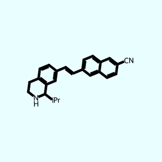 CC(C)C1NCCc2ccc(C=Cc3ccc4cc(C#N)ccc4c3)cc21